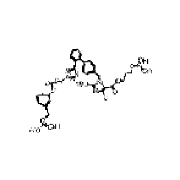 CCCCc1nc(Cl)c(C(=O)OCCCON(O)O)n1Cc1ccc(-c2ccccc2-c2nnn(COC(=O)Oc3cccc(CON(O)O)c3)n2)cc1